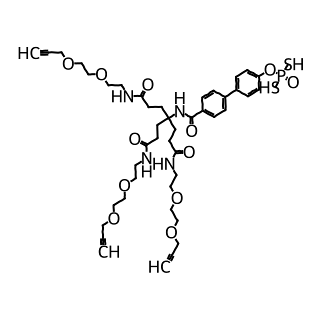 C#CCOCCOCCNC(=O)CCC(CCC(=O)NCCOCCOCC#C)(CCC(=O)NCCOCCOCC#C)NC(=O)c1ccc(-c2ccc(OP(=O)(S)S)cc2)cc1